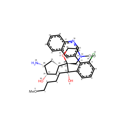 COCCCC[C@](O)(c1cccc(Cl)c1-c1cnc2ccccc2c1)[C@@]1([C@H]2C[C@@H](N)[C@@H](O)C2)CN(C=O)CCO1